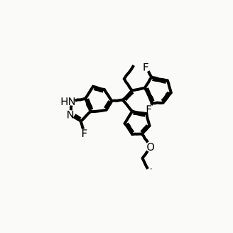 [CH2]COc1ccc(/C(=C(/CC)c2c(F)cccc2F)c2ccc3[nH]nc(F)c3c2)cc1